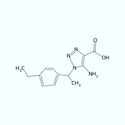 CCc1ccc(C(C)n2nnc(C(=O)O)c2N)cc1